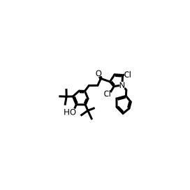 CC(C)(C)c1cc(CCC(=O)c2cc(Cl)n(Cc3ccccc3)c2Cl)cc(C(C)(C)C)c1O